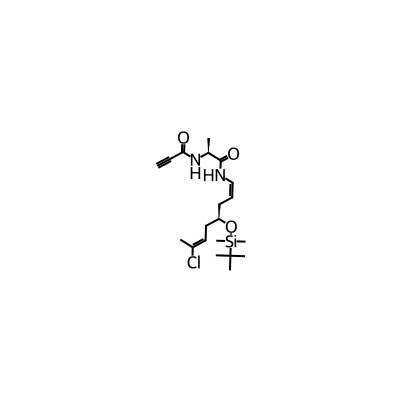 C#CC(=O)N[C@@H](C)C(=O)N/C=C\C[C@H](C/C=C(\C)Cl)O[Si](C)(C)C(C)(C)C